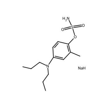 CCCN(CCC)c1ccc(OS(N)(=O)=O)c(C)c1.[NaH]